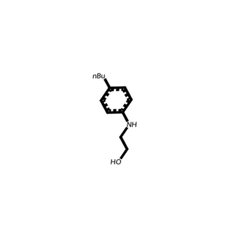 CCCCc1ccc(NCCO)cc1